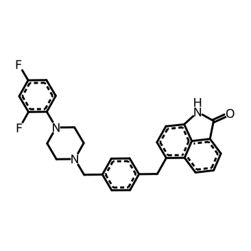 O=C1Nc2ccc(Cc3ccc(CN4CCN(c5ccc(F)cc5F)CC4)cc3)c3cccc1c23